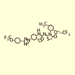 Cc1ccc(OCCC(F)(F)F)c(N2C(=O)CSC2=NC(=O)Nc2ccc(-n3cnc(-c4ccc(OC(F)(F)F)cc4)n3)cc2Cl)c1